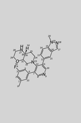 Cc1cc(F)cc(-c2cncc(-c3ccc4c(cnn4C)c3)c2N2CC[C@H]3NCCOC3C2)c1